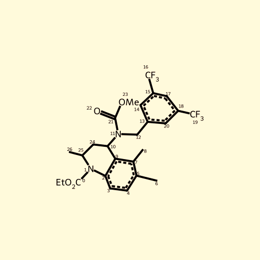 CCOC(=O)N1c2ccc(C)c(C)c2C(N(Cc2cc(C(F)(F)F)cc(C(F)(F)F)c2)C(=O)OC)CC1C